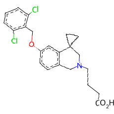 O=C(O)CCCN1Cc2ccc(OCc3c(Cl)cccc3Cl)cc2C2(CC2)C1